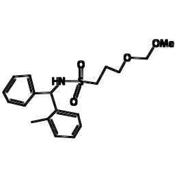 COCOCCCS(=O)(=O)NC(c1ccccc1)c1ccccc1C